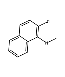 C[N]c1c(Cl)ccc2ccccc12